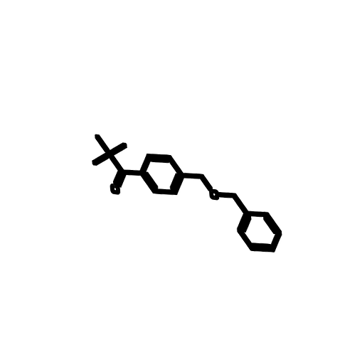 CC(C)(C)C(=O)c1ccc(COCc2ccccc2)cc1